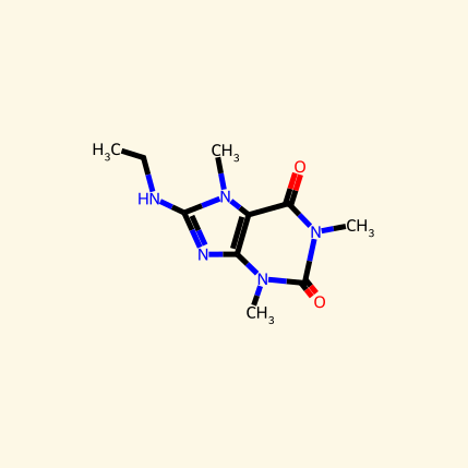 CCNc1nc2c(c(=O)n(C)c(=O)n2C)n1C